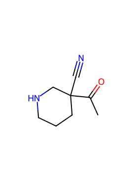 CC(=O)C1(C#N)CCCNC1